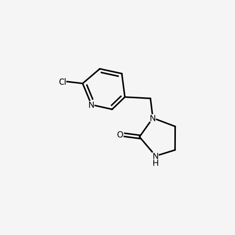 O=C1NCCN1Cc1ccc(Cl)nc1